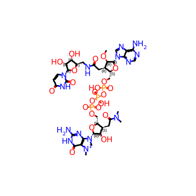 CO[C@@H]1[C@H](CC(=O)NC[C@H]2O[C@@H](n3ccc(=O)[nH]c3=O)[C@H](O)[C@@H]2O)[C@@H](COP(=O)(O)OP(=O)(O)OP(=O)([O-])OC[C@H]2O[C@@H](n3c[n+](C)c4c(=O)[nH]c(N)nc43)[C@H](O)[C@@H]2CC(=O)N(C)C)O[C@H]1n1cnc2c(N)ncnc21